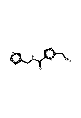 CCc1ccc(C(=O)NCc2ccoc2)s1